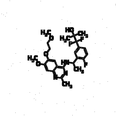 COCCOc1cc2c(NC(C)c3cc(C(F)(F)C(C)(C)O)ccc3F)nc(C)nc2cc1OC